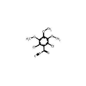 [C-]#[N+]C(=O)c1c(Cl)c(OC)c(OC)c(OC)c1Cl